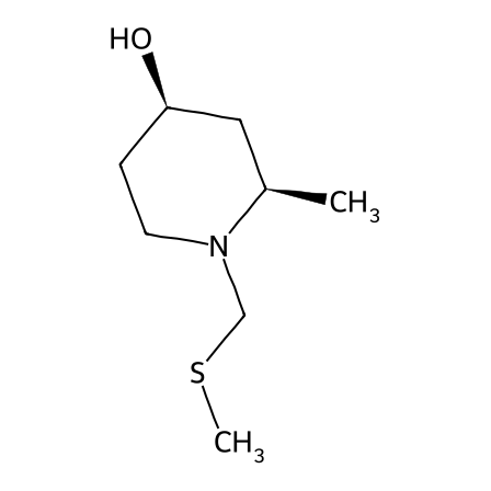 CSCN1CC[C@@H](O)C[C@H]1C